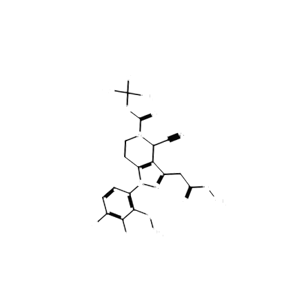 COC(=O)Cc1nn(-c2ccc(Br)c(F)c2OC)c2c1C(C#N)N(C(=O)OC(C)(C)C)CC2